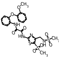 COc1ccccc1Oc1ccccc1NC(=O)C(=O)Nc1nc(CNS(C)(=O)=O)c(S(C)(=O)=O)s1